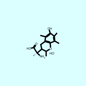 Cc1c(C)c2c(c(C)c1O)CC([C@@](C)(N)C(=O)O)C(C)O2.Cl